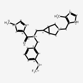 Cc1nc[nH]c1CN1CC2C(C1)C2CN(Cc1cccc(OC(F)(F)F)c1)C(=O)c1cn(C)cn1